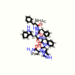 CC(=O)N[C@@H](Cc1ccccc1)C(=O)N[C@@H](Cc1ccccc1)C(=O)N[C@@H](Cc1c[nH]c2ccccc12)C(=O)N[C@@H](Cc1ccccc1)C(=O)N[C@@H](Cc1c[nH]cn1)C(=O)N[C@@H](CC(C)C)C(N)=O